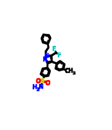 Cc1ccc(-c2c(-c3ccc(S(N)(=O)=O)cc3)nn(CCc3ccccc3)c2C(F)F)cc1